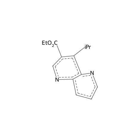 CCOC(=O)c1cnc2cccnc2c1C(C)C